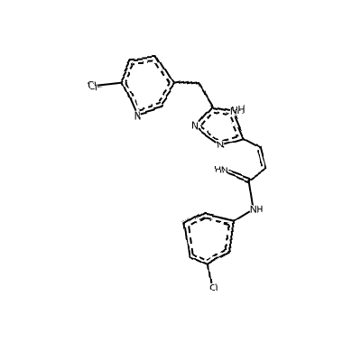 N=C(/C=C\c1nnc(Cc2ccc(Cl)nc2)[nH]1)Nc1cccc(Cl)c1